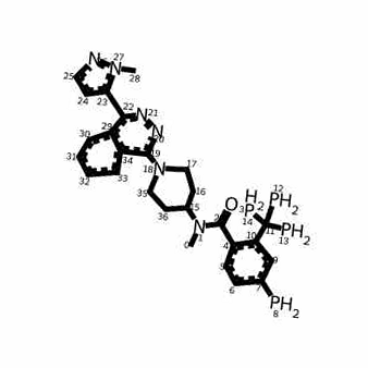 CN(C(=O)c1ccc(P)cc1C(P)(P)P)C1CCN(c2nnc(-c3ccnn3C)c3ccccc23)CC1